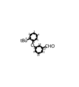 CC(C)(C)c1ccccc1Oc1cccc(C=O)c1